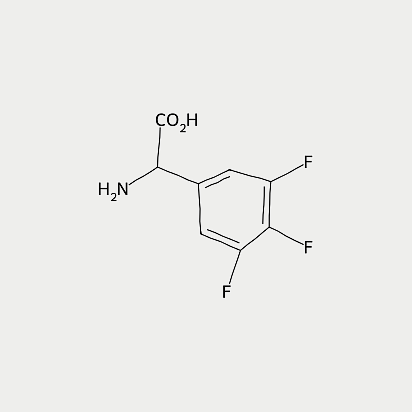 NC(C(=O)O)c1cc(F)c(F)c(F)c1